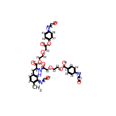 Cc1ccc(CC(NC(=O)COCCOC(=O)c2ccc(N=C=O)cc2)C(=O)OCCOCC(=O)Oc2ccc(N=C=O)cc2)cc1N=C=O